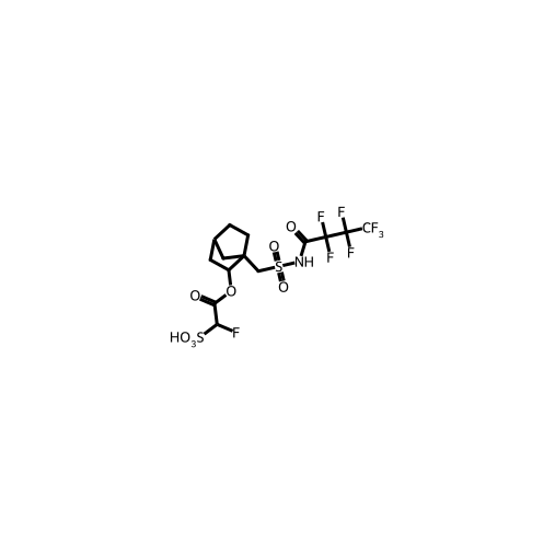 O=C(OC1CC2CCC1(CS(=O)(=O)NC(=O)C(F)(F)C(F)(F)C(F)(F)F)C2)C(F)S(=O)(=O)O